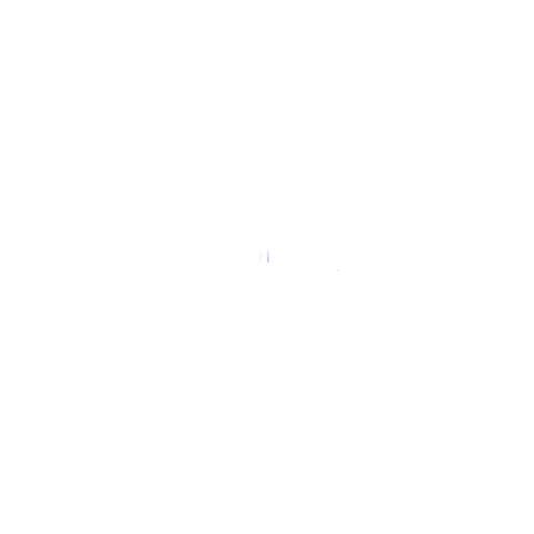 CC(C)NC(C)F